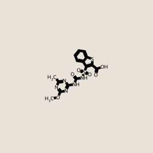 COc1nc(C)nc(NC(=O)NS(=O)(=O)c2c(C(=O)O)sc3ccccc23)n1